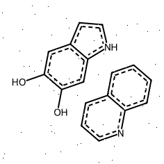 Oc1cc2cc[nH]c2cc1O.c1ccc2ncccc2c1